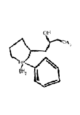 B[PH]1(c2ccccc2)CCCC1C[C@H](C)O